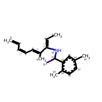 C=C\C=C/C=C(C)/C(=C/C)NC(I)c1cc(C)ccc1C